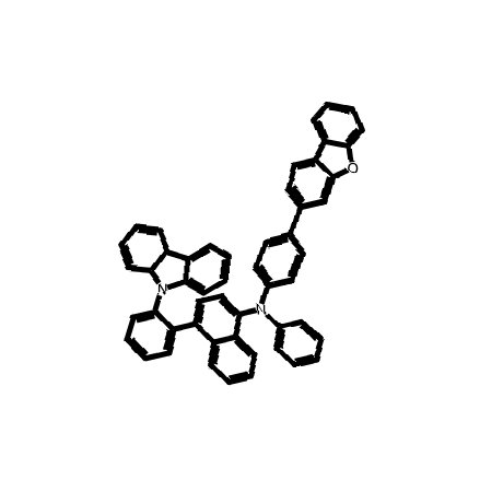 C1=CC2c3ccccc3N(c3ccccc3-c3ccc(N(c4ccccc4)c4ccc(-c5ccc6c(c5)oc5ccccc56)cc4)c4ccccc34)C2C=C1